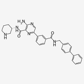 Nc1ncc(-c2cccc(C(=O)NCc3ccc(-c4ccccc4)cc3)c2)nc1C(=O)N[C@H]1CCCNC1